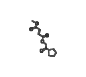 COC(=O)/C=C/C(=O)OCC(=O)C1CCCC1